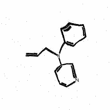 C=CCN(c1ccccc1)c1cccnc1